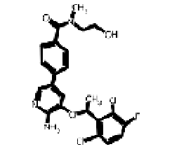 CC(Oc1cc(-c2ccc(C(=O)N(C)CCO)cc2)cnc1N)c1c(Cl)ccc(F)c1Cl